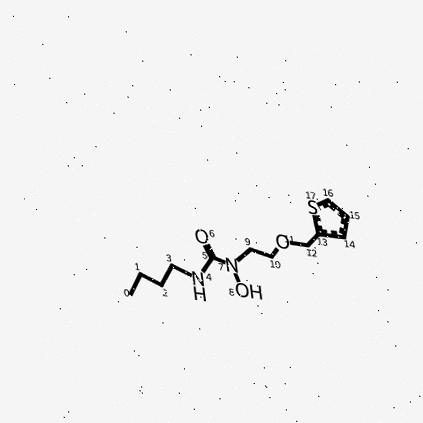 CCCCNC(=O)N(O)CCOCc1cccs1